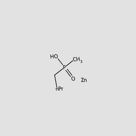 CCCCP(C)(=O)O.[Zn]